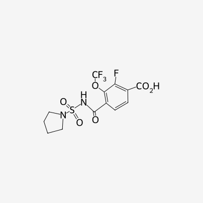 O=C(O)c1ccc(C(=O)NS(=O)(=O)N2CCCC2)c(OC(F)(F)F)c1F